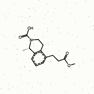 COC(=O)CCc1cccc2c1CCN(C(=O)O)[C@H]2C